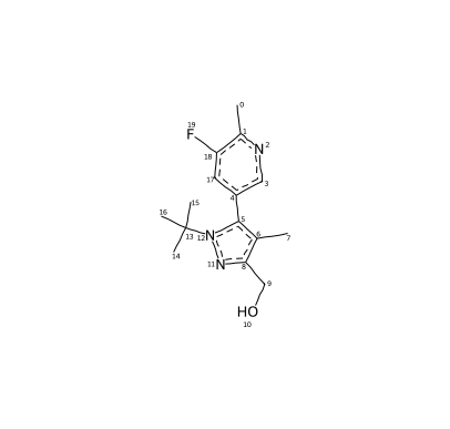 Cc1ncc(-c2c(C)c(CO)nn2C(C)(C)C)cc1F